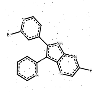 Fc1cnc2c(-c3ccccn3)c(-c3ccnc(Br)c3)[nH]c2n1